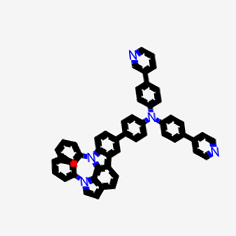 c1ccc(-n2ccc3ccc4c5cc(-c6ccc(N(c7ccc(-c8ccncc8)cc7)c7ccc(-c8cccnc8)cc7)cc6)ccc5n(-c5ccccc5)c4c32)cc1